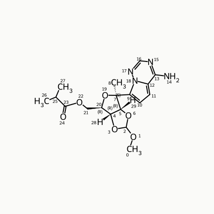 COC1O[C@H]2[C@@H](O1)[C@](C)(c1ccc3c(N)ncnn13)O[C@@H]2COC(=O)C(C)C